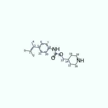 CC(C)=C(C)c1ccc(NC(=O)OCC2CCNCC2)cc1